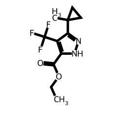 CCOC(=O)c1[nH]nc(C2(C)CC2)c1C(F)(F)F